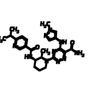 CC(C)c1ccc(C(=O)N[C@@H]2CCCN(c3nnc(C(N)=O)c(Nc4cnn(C)c4)n3)[C@@H]2C)cn1